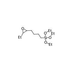 CCO[Si](CCCCC1OC1CC)(OCC)OCC